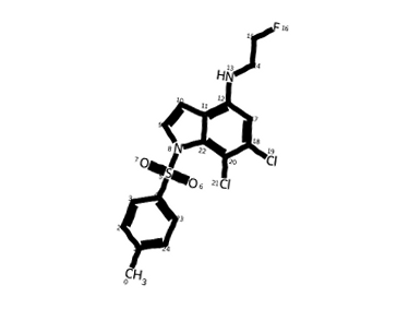 Cc1ccc(S(=O)(=O)n2ccc3c(NCCF)cc(Cl)c(Cl)c32)cc1